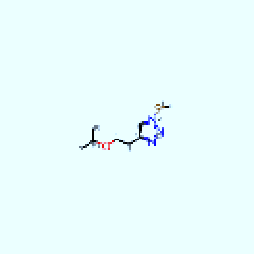 CSn1cc(CCOC(C)C)nn1